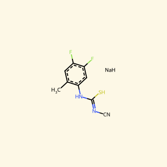 Cc1cc(F)c(F)cc1NC(S)=NC#N.[NaH]